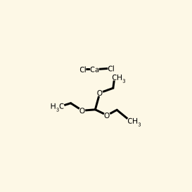 CCOC(OCC)OCC.[Cl][Ca][Cl]